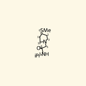 CSC1CCN(CC(=O)NC(C)C)CC1